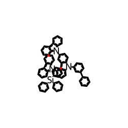 c1ccc(-c2cccc(-n3c4ccc(-n5c6ccccc6c6ccccc65)cc4c4c(-n5c6ccccc6c6cccc([Si](c7ccccc7)(c7ccccc7)c7ccccc7)c65)cccc43)c2)cc1